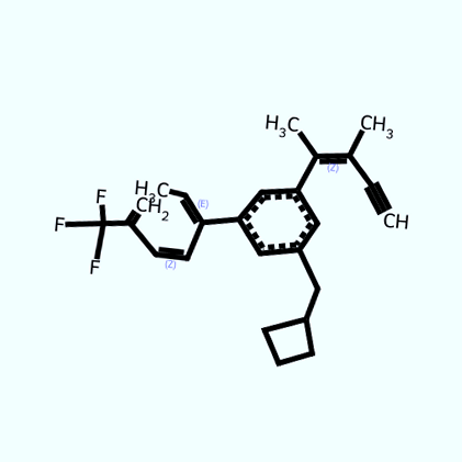 C#C/C(C)=C(/C)c1cc(CC2CCC2)cc(C(/C=C\C(=C)C(F)(F)F)=C/C)c1